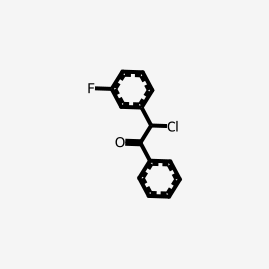 O=C(c1ccccc1)C(Cl)c1cccc(F)c1